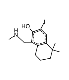 CNCc1c(O)c(I)cc2c1CCCC2(C)C